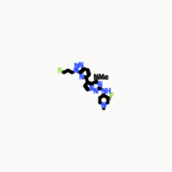 CNc1nc(N[C@H]2CCN(C)C[C@H]2F)nn2ccc(-c3ccc4nnn(CCCF)c4n3)c12